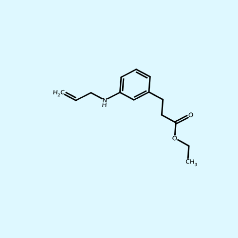 C=CCNc1cccc(CCC(=O)OCC)c1